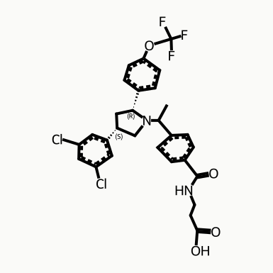 CC(c1ccc(C(=O)NCCC(=O)O)cc1)N1C[C@H](c2cc(Cl)cc(Cl)c2)C[C@@H]1c1ccc(OC(F)(F)F)cc1